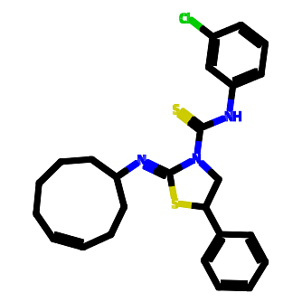 S=C(Nc1cccc(Cl)c1)N1CC(c2ccccc2)SC1=NC1CCC=CCCCC1